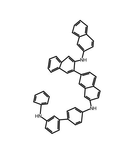 c1ccc(Nc2cccc(-c3ccc(Nc4ccc5ccc(-c6cc7ccccc7cc6Nc6ccc7ccccc7c6)cc5c4)cc3)c2)cc1